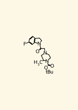 CC1CN(CC(=O)N2CCc3ccc(F)cc32)CCN1C(=O)OC(C)(C)C